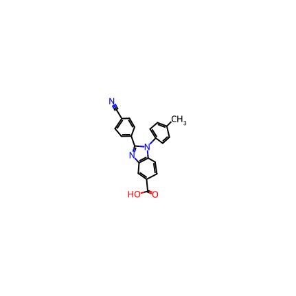 Cc1ccc(-n2c(-c3ccc(C#N)cc3)nc3cc(C(=O)O)ccc32)cc1